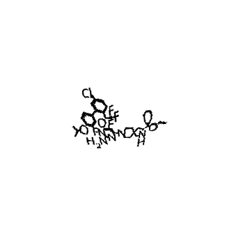 CCOC(=O)[C@@H]1CC2(CCN(c3cc(O[C@H](c4ccc(Cl)cc4-c4ccc(OC(C)C)c(F)c4)C(F)(F)F)nc(N)n3)CC2)CN1